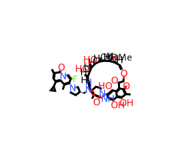 CO[C@H]1/C=C/O[C@@]2(C)Oc3c(C)c(O)c4c(O)c(c(N5CCC(NC[C@@H]6CCN(c7c(F)cn8c(=O)c(C)cc(C9CC9)c8c7C)C6)CC5)c(O)c4c3C2=O)NC(=O)/C(C)=C\C=C\[C@H](C)[C@H](O)[C@@H](C)[C@@H](O)[C@@H](C)[C@H](OC(C)=O)[C@@H]1C